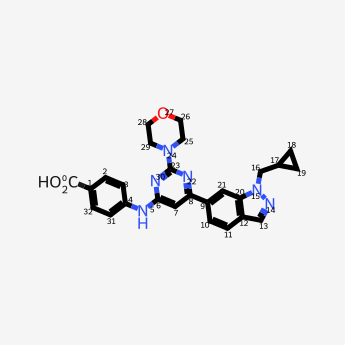 O=C(O)c1ccc(Nc2cc(-c3ccc4cnn(CC5CC5)c4c3)nc(N3CCOCC3)n2)cc1